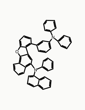 c1ccc(N(c2ccccc2)c2cccc(-c3cccc4oc5c6ccccc6c(N(c6ccccc6)c6cccc7ccccc67)cc5c34)c2)cc1